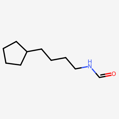 O=CNCCCCC1CCCC1